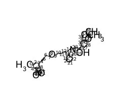 Cc1cc(C#CCCOCCCCCCN(Cc2ccccc2)C[C@H](O)c2ccc3c(c2)COC(C)(C)O3)cc([N+](=O)[O-])c1